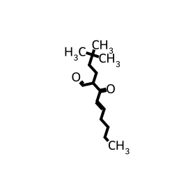 CCCCC=CC(=O)C(C=O)CCC(C)(C)C